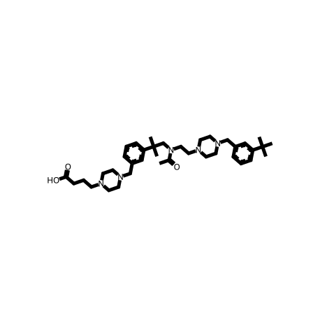 CC(=O)N(CCN1CCN(Cc2cccc(C(C)(C)C)c2)CC1)CC(C)(C)c1cccc(CN2CCN(CCCC(=O)O)CC2)c1